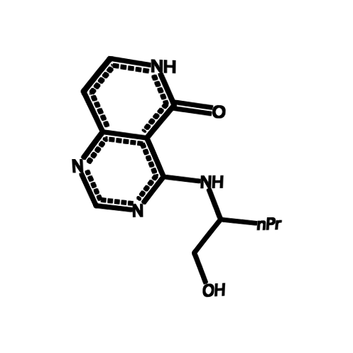 CCCC(CO)Nc1ncnc2cc[nH]c(=O)c12